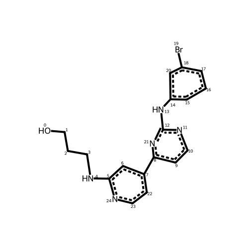 OCCCNc1cc(-c2ccnc(Nc3cccc(Br)c3)n2)ccn1